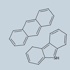 C1=CCC2=c3ccccc3=[SiH]C2=C1.c1ccc2cc3ccccc3cc2c1